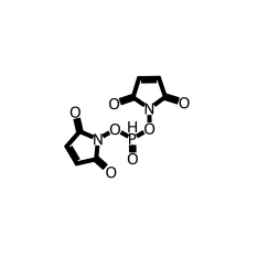 O=C1C=CC(=O)N1O[PH](=O)ON1C(=O)C=CC1=O